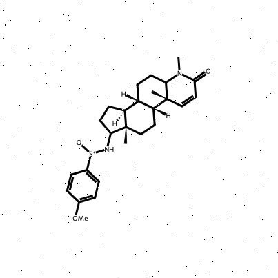 COc1ccc([S+]([O-])NC2CC[C@H]3[C@@H]4CCC5N(C)C(=O)C=C[C@]5(C)[C@@H]4CC[C@]23C)cc1